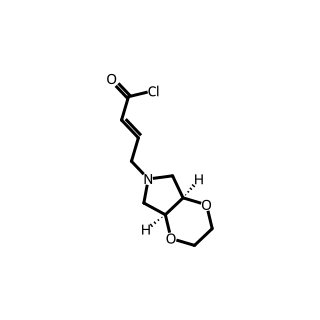 O=C(Cl)C=CCN1C[C@@H]2OCCO[C@@H]2C1